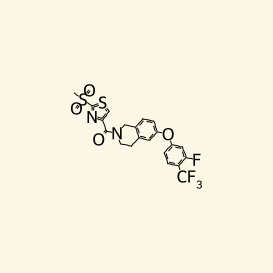 CS(=O)(=O)c1nc(C(=O)N2CCc3cc(Oc4ccc(C(F)(F)F)c(F)c4)ccc3C2)cs1